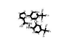 O=C(NNc1ncc(C(F)(F)F)cc1Cl)c1cccn1-c1ccc(C(F)(F)F)nc1